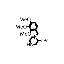 CCCC1CNCCN1Cc1ccc(OC)c(OC)c1OC